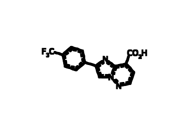 O=C(O)c1ccnn2cc(-c3ccc(C(F)(F)F)cc3)nc12